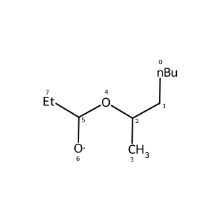 CCCCCC(C)OC([O])CC